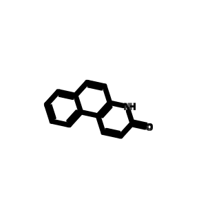 O=c1ccc2c(ccc3ccccc32)[nH]1